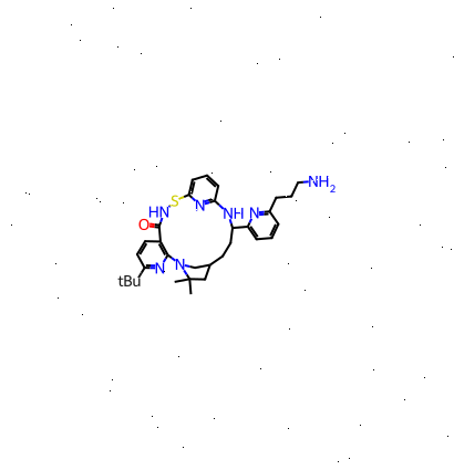 CC(C)(C)c1ccc2c(n1)N1CC(CCC(c3cccc(CCCN)n3)Nc3cccc(n3)SNC2=O)CC1(C)C